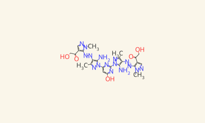 Cc1nn(-c2cc(O)nc(-n3nc(C)c(/N=N/c4c(C(=O)CO)cnn4C)c3N)n2)c(N)c1/N=N/c1c(C(=O)CO)cnn1C